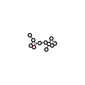 c1ccc(-c2ccc(N(c3ccccc3)c3ccc(-c4ccc5c(-c6ccccc6)c6c(ccc7cccnc76)c(-c6ccccc6)c5c4)cc3)c(-c3ccccc3)c2)cc1